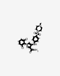 CN1CCN(S(=O)(=O)c2ccc(Nc3cn(-c4c(Cl)cccc4Cl)nc3C(N)=O)cc2)CC1